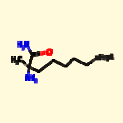 CCCCCCCCCCCCC(C)(N)C(N)=O